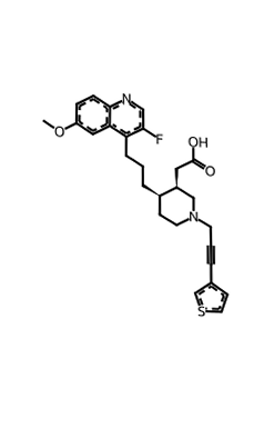 COc1ccc2ncc(F)c(CCC[C@@H]3CCN(CC#Cc4ccsc4)C[C@@H]3CC(=O)O)c2c1